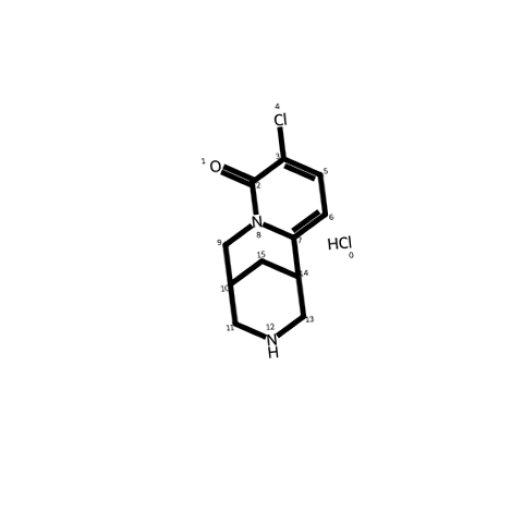 Cl.O=c1c(Cl)ccc2n1CC1CNCC2C1